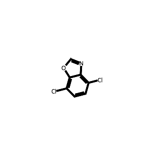 Clc1ccc(Cl)c2o[c]nc12